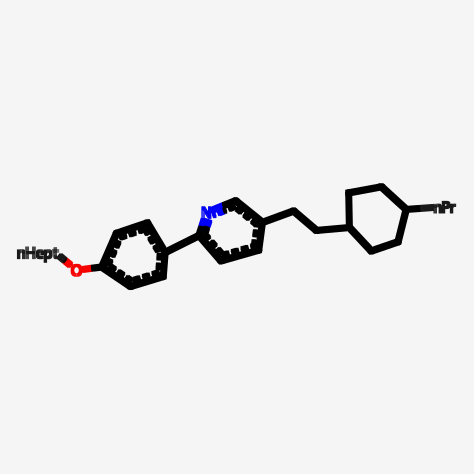 CCCCCCCOc1ccc(-c2ccc(CCC3CCC(CCC)CC3)cn2)cc1